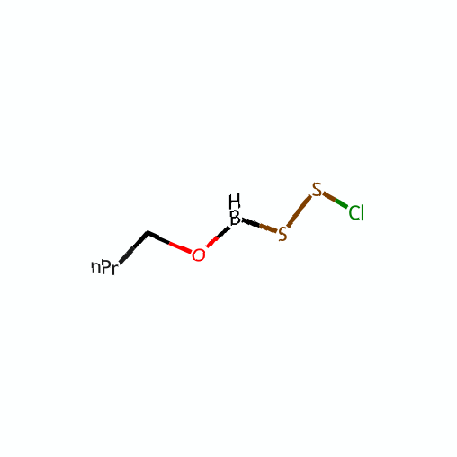 CCCCOBSSCl